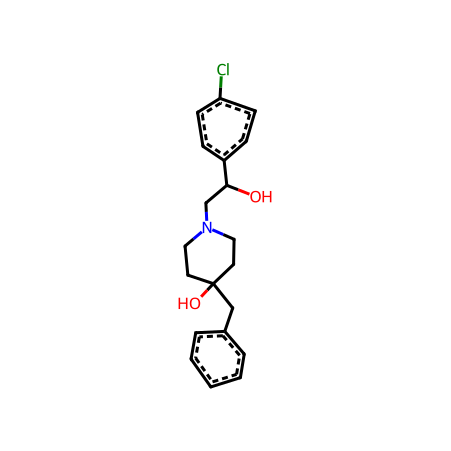 OC(CN1CCC(O)(Cc2ccccc2)CC1)c1ccc(Cl)cc1